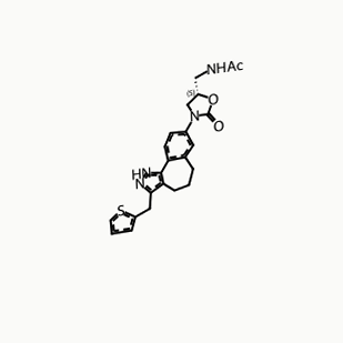 CC(=O)NC[C@H]1CN(c2ccc3c(c2)CCCc2c(Cc4cccs4)n[nH]c2-3)C(=O)O1